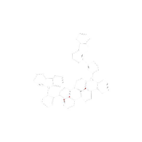 c1ccc(-c2ccc(-c3ccccc3N(c3ccc(-c4ccc(-c5ccccc5-n5c6ccccc6c6ccccc65)cc4)cc3)c3cccc(-c4cccc5c4oc4ccccc45)c3)cc2)cc1